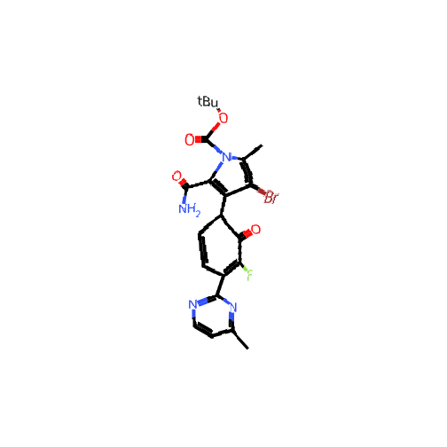 Cc1ccnc(C2=C(F)C(=O)C(c3c(Br)c(C)n(C(=O)OC(C)(C)C)c3C(N)=O)C=C2)n1